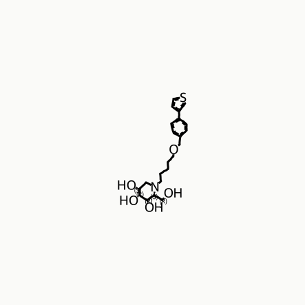 C[C@@H](O)[C@H]1[C@@H](O)[C@H](O)[C@@H](O)CN1CCCCCOCc1ccc(-c2ccsc2)cc1